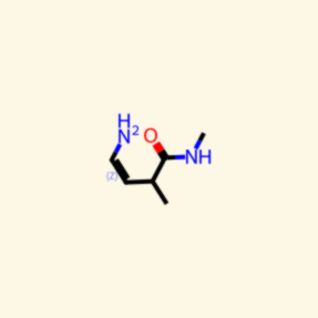 CNC(=O)C(C)/C=C\N